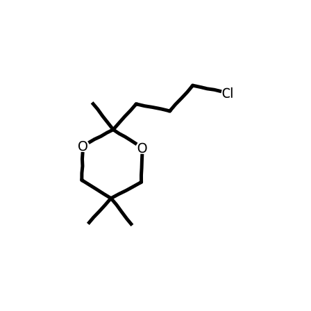 CC1(C)COC(C)(CCCCl)OC1